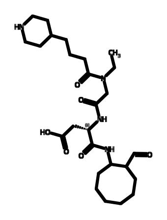 CCN(CC(=O)N[C@@H](CC(=O)O)C(=O)NC1CCCCCCC1C=O)C(=O)CCCC1CCNCC1